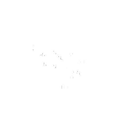 CCc1cnc([C@H]2O[C@@H](n3cnc4c(N[C@H]5CCC[C@H]5F)ncnc43)[C@H](O)[C@@H]2O)o1